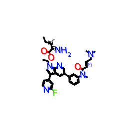 CC[C@H](C)[C@H](N)C(=O)OC(C)n1cc(-c2ccnc(F)c2)c2cc(-c3cccc(N(C)C(=O)/C=C/CN(C)C)c3)cnc21